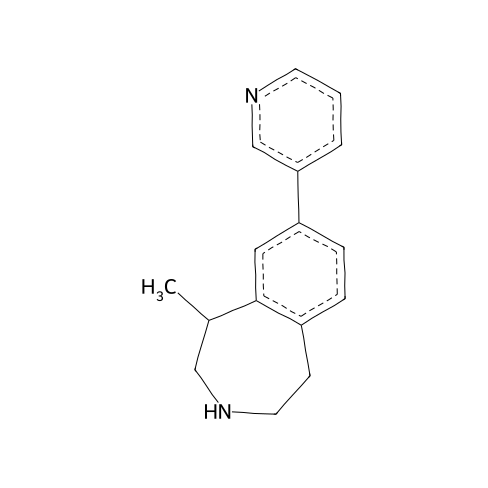 CC1CNCCc2ccc(-c3cccnc3)cc21